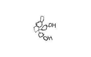 Oc1ccc(C2(c3ccc(O)cc3)CCCc3cc4c(cc32)=CCCC=4)cc1